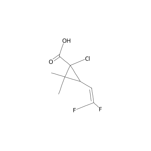 CC1(C)C(C=C(F)F)C1(Cl)C(=O)O